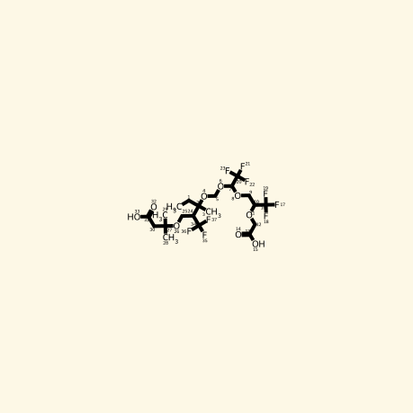 CCC(C)(OCOC(OCC(OCC(=O)O)C(F)(F)F)C(F)(F)F)C(COC(C)(C)CC(=O)O)C(F)(F)F